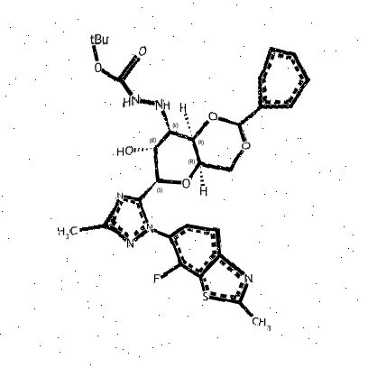 Cc1nc([C@@H]2O[C@@H]3COC(c4ccccc4)O[C@@H]3[C@H](NNC(=O)OC(C)(C)C)[C@H]2O)n(-c2ccc3nc(C)sc3c2F)n1